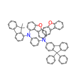 CC1(C)c2ccccc2-c2cccc(N(c3cccc(N(c4ccc5c(c4)-c4ccccc4C5(c4ccccc4)c4ccccc4)c4ccc5oc6ccccc6c5c4)c3)c3cccc4oc5ccccc5c34)c21